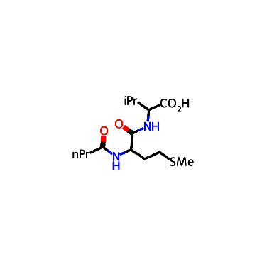 CCCC(=O)NC(CCSC)C(=O)NC(C(=O)O)C(C)C